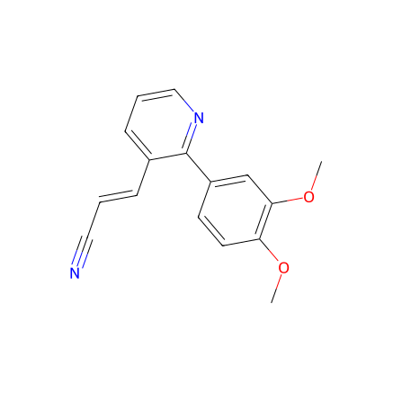 COc1ccc(-c2ncccc2C=CC#N)cc1OC